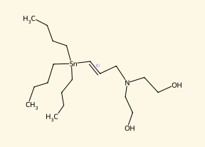 CCC[CH2][Sn](/[CH]=C/CN(CCO)CCO)([CH2]CCC)[CH2]CCC